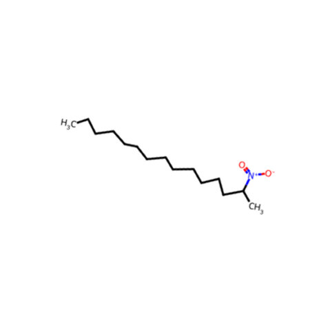 CCCCCCCCCCCCCC(C)[N+](=O)[O-]